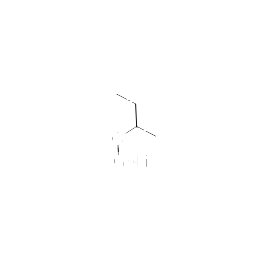 CCC(C)[O][GeH3]